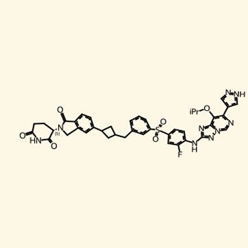 CC(C)Oc1c(-c2cn[nH]c2)ncn2nc(Nc3ccc(S(=O)(=O)c4cccc(CC5CC(c6ccc7c(c6)CN([C@H]6CCC(=O)NC6=O)C7=O)C5)c4)cc3F)nc12